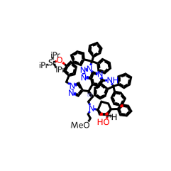 COCCN(C/C=C(\c1cnn(Cc2cccc(O[Si](C(C)C)(C(C)C)C(C)C)c2)c1)c1cc(NC(c2ccccc2)(c2ccccc2)c2ccccc2)nc2c1nnn2C(c1ccccc1)(c1ccccc1)c1ccccc1)C12CCC(c3ccccc3)(CC1)[C@H](O)C2